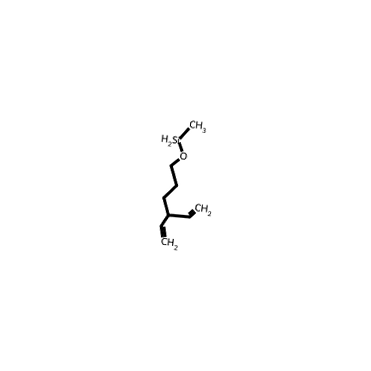 C=CC(C=C)CCCO[SiH2]C